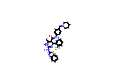 CC1=C(C(=O)Nc2ccc(CN3CCCCC3)cc2)C(c2ccccc2Cl)N=C(Nc2nc3ccccc3o2)N1